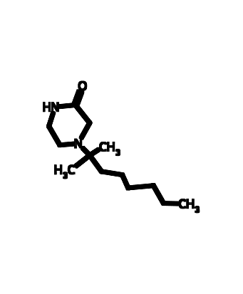 CCCCCCC(C)(C)N1CCNC(=O)C1